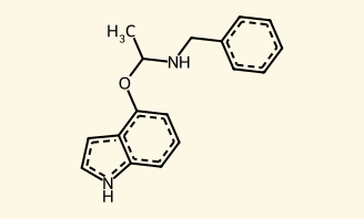 CC(NCc1ccccc1)Oc1cccc2[nH]ccc12